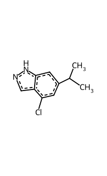 CC(C)c1cc(Cl)c2cn[nH]c2c1